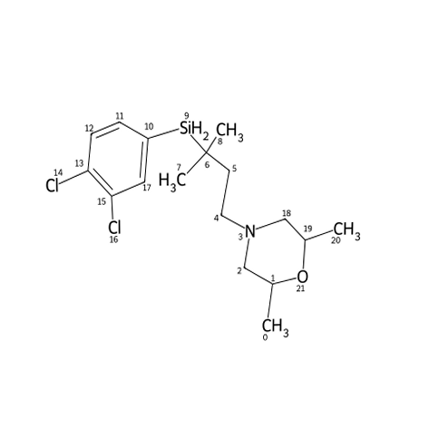 CC1CN(CCC(C)(C)[SiH2]c2ccc(Cl)c(Cl)c2)CC(C)O1